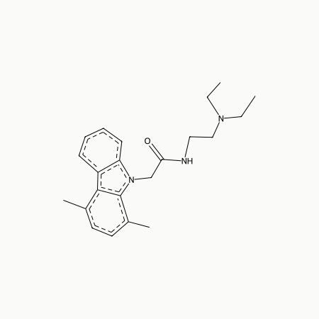 CCN(CC)CCNC(=O)Cn1c2ccccc2c2c(C)ccc(C)c21